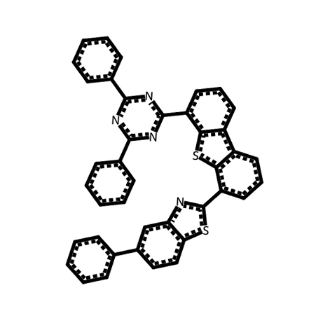 c1ccc(-c2ccc3sc(-c4cccc5c4sc4c(-c6nc(-c7ccccc7)nc(-c7ccccc7)n6)cccc45)nc3c2)cc1